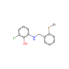 CCSc1ccccc1CNc1cccc(F)c1O